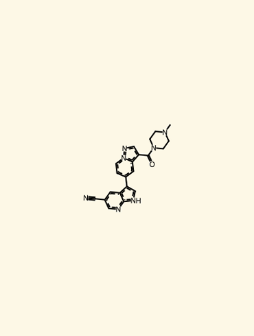 CN1CCN(C(=O)c2cnn3ccc(-c4c[nH]c5ncc(C#N)cc45)cc23)CC1